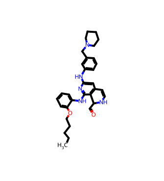 CCCCCOc1ccccc1Nc1nc(Nc2cccc(CN3CCCCC3)c2)cc2c1C(C=O)NC=C2